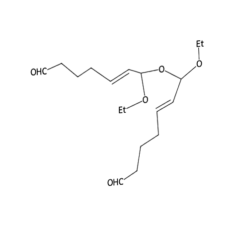 CCOC(C=CCCCC=O)OC(C=CCCCC=O)OCC